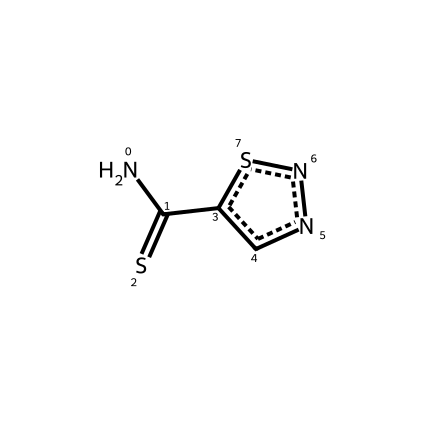 NC(=S)c1cnns1